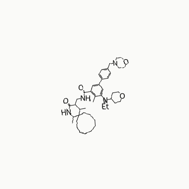 CCN(c1cc(-c2ccc(CN3CCOCC3)cc2)cc(C(=O)NCC2C(=O)NC(C)C3(CCCCCCCCC3)C2C)c1C)C1CCOCC1